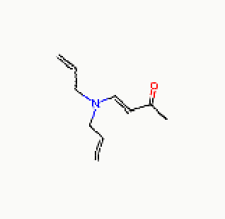 C=CCN(C=CC(C)=O)CC=C